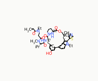 C=CC(=O)N(CC)CCC(=O)N(C)[C@H](C(=O)N[C@H]1Cc2cc(O)cc(c2)-c2ccc3c(c2)c(c(-c2cncs2)n3CC)CC(C)(C)COC(=O)[C@@H]2CCCN(N2)C1=O)C(C)C